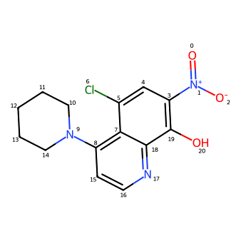 O=[N+]([O-])c1cc(Cl)c2c(N3CCCCC3)ccnc2c1O